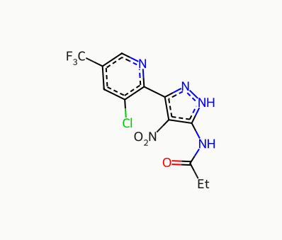 CCC(=O)Nc1[nH]nc(-c2ncc(C(F)(F)F)cc2Cl)c1[N+](=O)[O-]